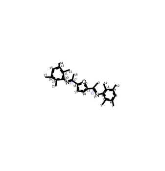 C/C(=N\c1c(C)c(C)cc(C)c1C)c1ccc(/C(C)=N/c2c(C)c(C)cc(C)c2C)o1